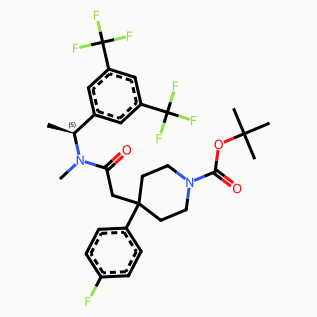 C[C@@H](c1cc(C(F)(F)F)cc(C(F)(F)F)c1)N(C)C(=O)CC1(c2ccc(F)cc2)CCN(C(=O)OC(C)(C)C)CC1